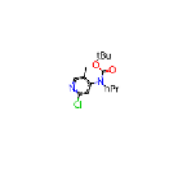 CCCN(C(=O)OC(C)(C)C)c1cc(Cl)ncc1C